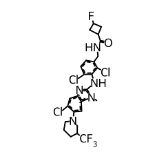 Cn1c(Nc2c(Cl)ccc(CNC(=O)C3CC(F)C3)c2Cl)nc2cc(Cl)c(N3CCCC(C(F)(F)F)C3)cc21